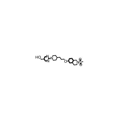 CS(=O)(=O)N1CCc2cc(OCCCC3CCN(c4ncc(CO)cn4)CC3)ccc2C1